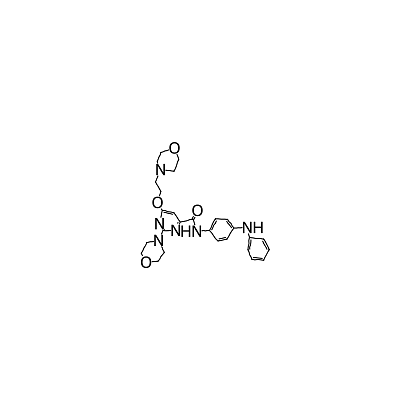 O=C(Nc1ccc(Nc2ccccc2)cc1)c1cc(OCCN2CCOCC2)nc(N2CCOCC2)n1